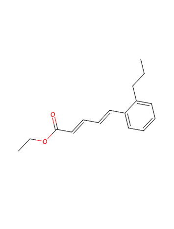 CCCc1ccccc1C=CC=CC(=O)OCC